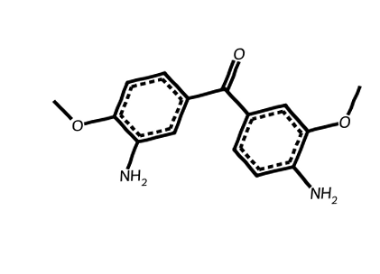 COc1ccc(C(=O)c2ccc(N)c(OC)c2)cc1N